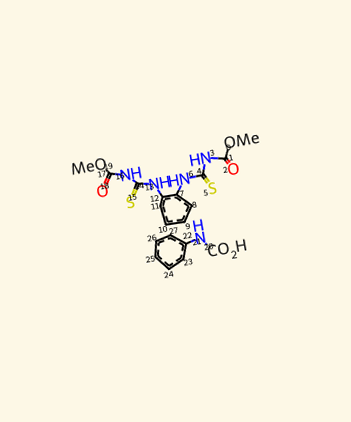 COC(=O)NC(=S)Nc1ccccc1NC(=S)NC(=O)OC.O=C(O)Nc1ccccc1